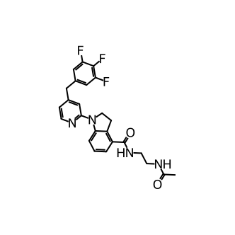 CC(=O)NCCNC(=O)c1cccc2c1CCN2c1cc(Cc2cc(F)c(F)c(F)c2)ccn1